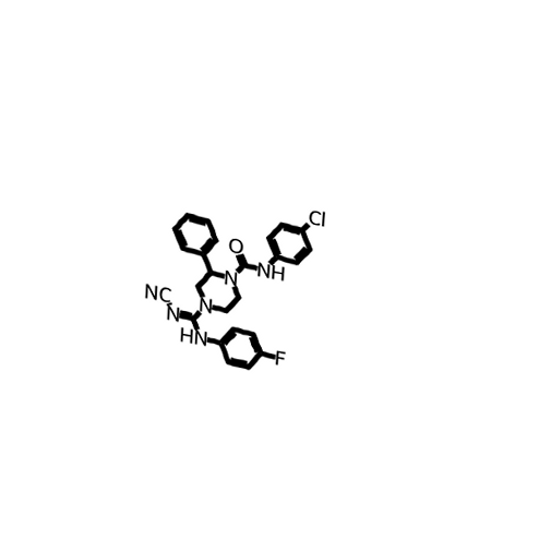 N#C/N=C(/Nc1ccc(F)cc1)N1CCN(C(=O)Nc2ccc(Cl)cc2)C(c2ccccc2)C1